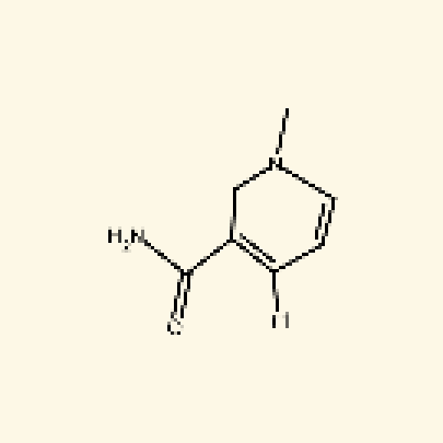 CN1C=CC(Cl)=C(C(N)=O)C1